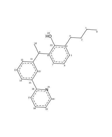 CCCCc1cccc(C(C)c2cccc(-c3ccccn3)c2)c1O